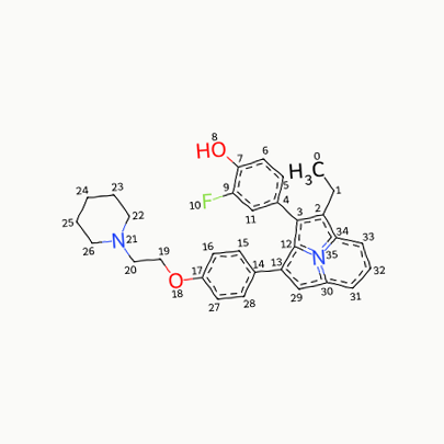 CCc1c(-c2ccc(O)c(F)c2)c2c(-c3ccc(OCCN4CCCCC4)cc3)cc3cccc1n32